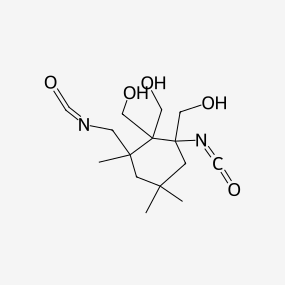 CC1(C)CC(C)(CN=C=O)C(CO)(CO)C(CO)(N=C=O)C1